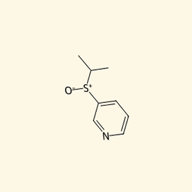 CC(C)[S+]([O-])c1cccnc1